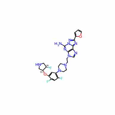 Nc1nc2c(ncn2CCN2CCN(c3cc(O[C@H]4CNC[C@H]4F)c(F)cc3F)CC2)c2nc(-c3ccco3)nn12